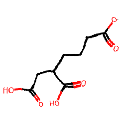 [O]C(=O)CCCC(CC(=O)O)C(=O)O